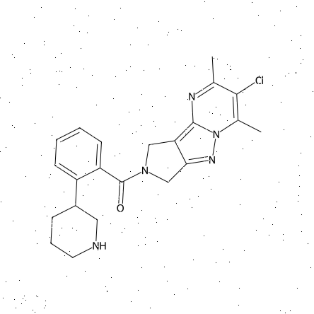 Cc1nc2c3c(nn2c(C)c1Cl)CN(C(=O)c1ccccc1C1CCCNC1)C3